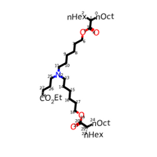 CCCCCCCCC(CCCCCC)C(=O)OCCCCCCN(CCCCCCOC(=O)[C@@H](CCCCCC)CCCCCCCC)CCCC(=O)OCC